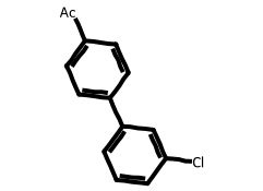 CC(=O)c1ccc(-c2cccc(Cl)c2)cc1